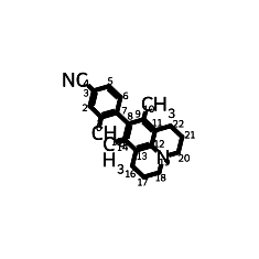 Cc1cc(C#N)ccc1-c1c(C)c2c3c(c1C)CCCN3CCC2